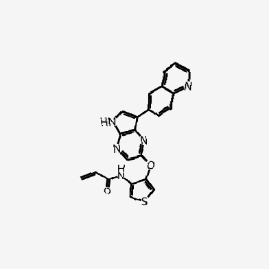 C=CC(=O)Nc1cscc1Oc1cnc2[nH]cc(-c3ccc4ncccc4c3)c2n1